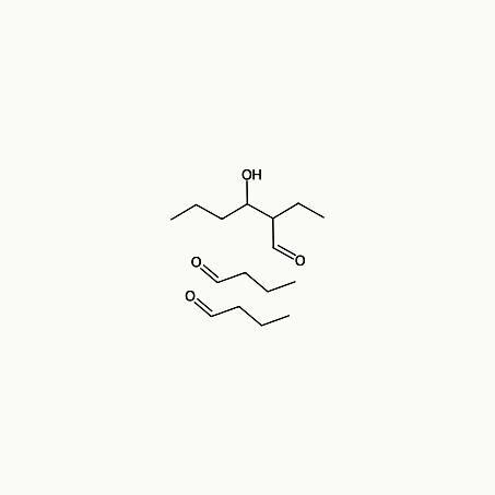 CCCC(O)C(C=O)CC.CCCC=O.CCCC=O